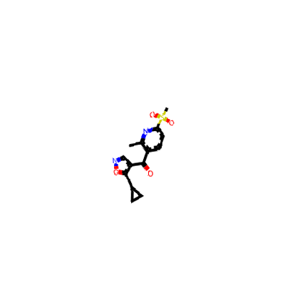 Cc1nc(S(C)(=O)=O)ccc1C(=O)c1cnoc1C1CC1